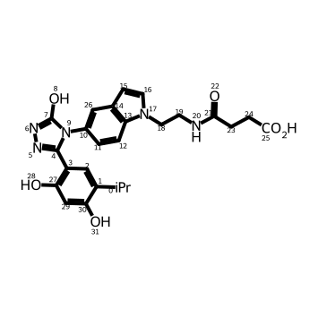 CC(C)c1cc(-c2nnc(O)n2-c2ccc3c(ccn3CCNC(=O)CCC(=O)O)c2)c(O)cc1O